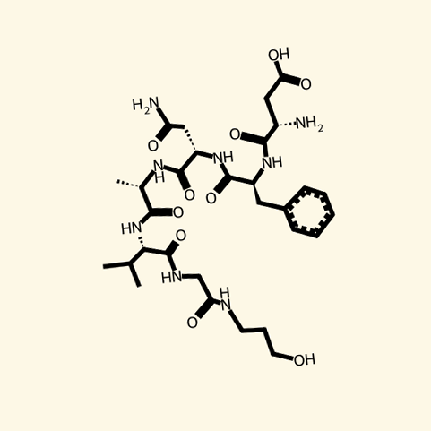 CC(C)[C@H](NC(=O)[C@H](C)NC(=O)[C@H](CC(N)=O)NC(=O)[C@H](Cc1ccccc1)NC(=O)[C@@H](N)CC(=O)O)C(=O)NCC(=O)NCCCO